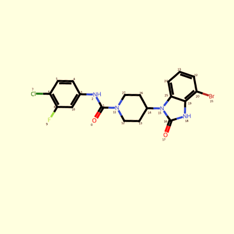 O=C(Nc1ccc(Cl)c(F)c1)N1CCC(n2c(=O)[nH]c3c(Br)cccc32)CC1